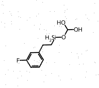 OC(O)O[SiH2]CCc1cccc(F)c1